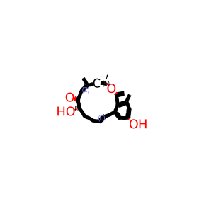 C=C1O[C@@H](C)C/C(C)=C\C(=O)[C@@H](O)CC/C=C/c2cc(O)cc(C)c21